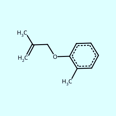 C=C(C)COc1ccccc1C